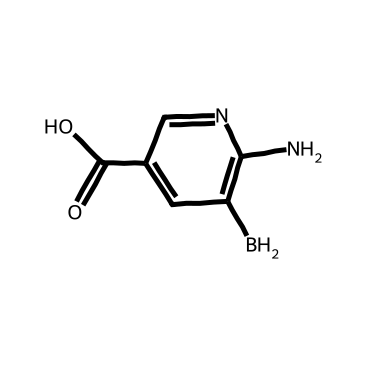 Bc1cc(C(=O)O)cnc1N